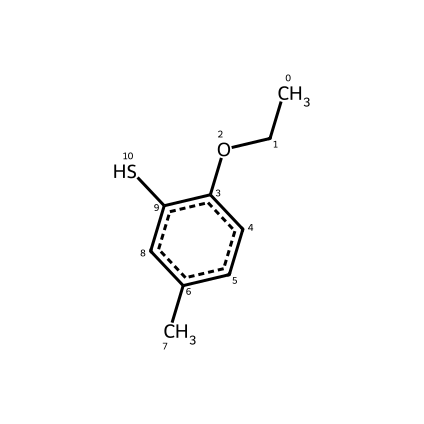 CCOc1ccc(C)cc1S